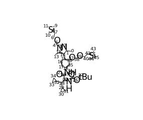 Cc1nn(COCC[Si](C)(C)C)c(C)c1-c1ccc(NC(=O)[C@@H](NC(=O)OC(C)(C)C)C(C2CC2)C2CC2)cc1OCOCC[Si](C)(C)C